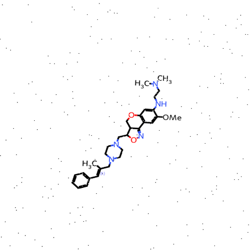 COc1cc2c(cc1NCCN(C)C)OCC1C2=NOC1CN1CCN(C/C(C)=C/c2ccccc2)CC1